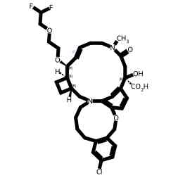 CN1CC/C=C/[C@H](OCCOCC(F)F)[C@@H]2CC[C@H]2CN2CCCCc3cc(Cl)ccc3COc3ccc(cc32)[C@@](O)(C(=O)O)CC1=O